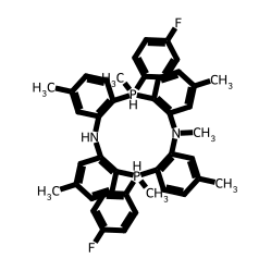 Cc1ccc2c(c1)Nc1cc(C)ccc1[PH](C)(c1ccc(F)cc1)c1ccc(C)cc1N(C)c1cc(C)ccc1[PH]2(C)c1ccc(F)cc1